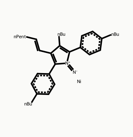 CCCCCC=CC1=C(c2ccc(CCCC)cc2)[N+](=[N-])C(c2ccc(CCCC)cc2)=C1CCCC.[Ni]